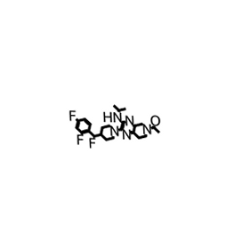 CC(=O)N1CCc2nc(N3CCC([C@H](F)c4ccc(F)cc4F)CC3)c(NC(C)C)nc2C1